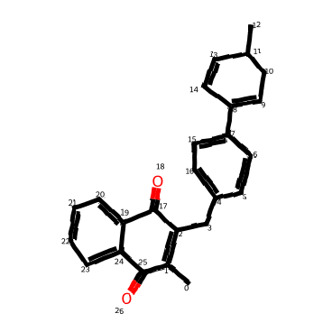 CC1=C(Cc2ccc(C3=CCC(C)C=C3)cc2)C(=O)c2ccccc2C1=O